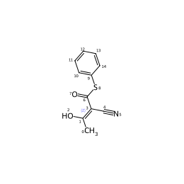 C/C(O)=C(\C#N)C(=O)Sc1ccccc1